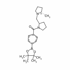 C[C@H]1CCCN1CC1CCCN1C(=O)c1ccc(B2OC(C)(C)C(C)(C)O2)cc1